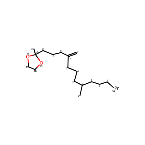 C=C(CCCC(C)CCCC(C)C)CCCC1(C)OCCO1